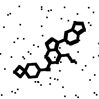 COc1nc(NC2CCC3(CC2)COC3)nn2ccc(-c3ccc4ncnn4c3)c12